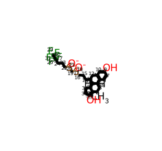 C[C@@]12CC[C@@H]3c4ccc(O)cc4CC(CCC[S+]([O-])C[S+]([O-])CCCC(F)(F)C(F)(F)F)[C@H]3[C@@H]1CC[C@@H]2O